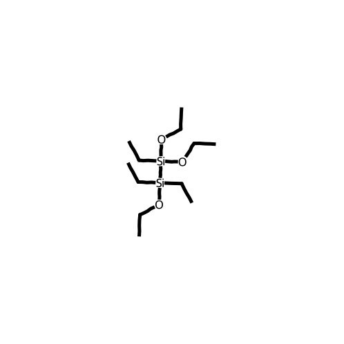 CCO[Si](CC)(CC)[Si](CC)(OCC)OCC